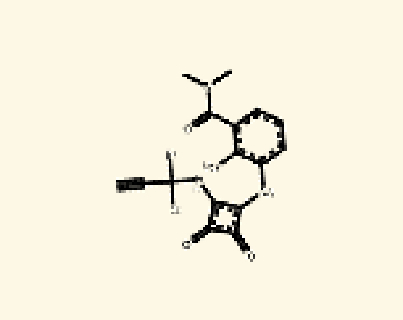 C#CC(CC)(CC)Nc1c(Nc2cccc(C(=O)N(C)C)c2O)c(=O)c1=O